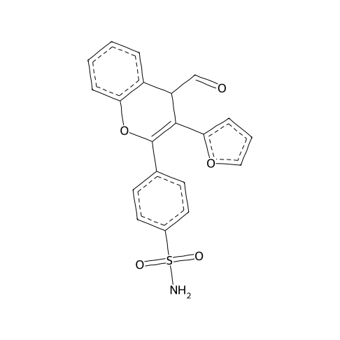 NS(=O)(=O)c1ccc(C2=C(c3ccco3)C(C=O)c3ccccc3O2)cc1